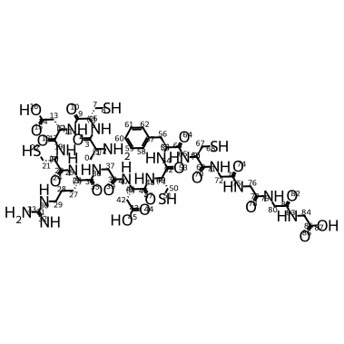 C[C@H](N)C(=O)N[C@@H](CS)C(=O)N[C@@H](CC(=O)O)C(=O)N[C@@H](CS)C(=O)N[C@@H](CCCNC(=N)N)C(=O)NCC(=O)N[C@@H](CC(=O)O)C(=O)N[C@@H](CS)C(=O)N[C@@H](Cc1ccccc1)C(=O)N[C@@H](CS)C(=O)NCC(=O)NCC(=O)NCC(=O)NCC(=O)O